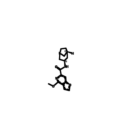 COc1nc(C(=O)N[C@@H]2C[C@H]3CCN(C3)C2)cc2occc12